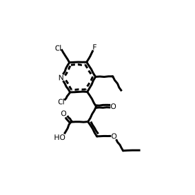 CCO/C=C(/C(=O)O)C(=O)c1c(Cl)nc(Cl)c(F)c1CC